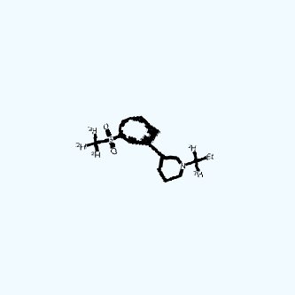 [2H]C([2H])(CC)N1CCCC(c2cccc(S(=O)(=O)C([2H])([2H])[2H])c2)C1